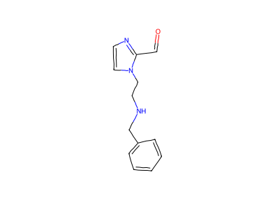 O=Cc1nccn1CCNCc1ccccc1